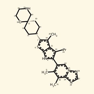 Cc1c(-c2[nH]c3sc([C@H]4CC[C@@]5(CC4)CNCCO5)c(C)c3c2C(C)C)cn2ncnc2c1C